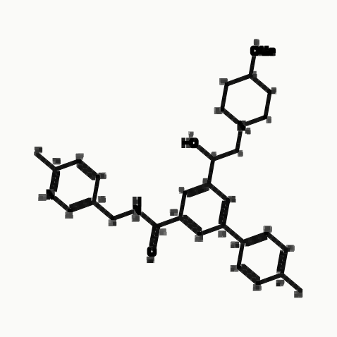 COC1CCN(CC(O)c2cc(C(=O)NCc3ccc(C)nc3)cc(-c3ccc(C)cc3)c2)CC1